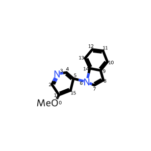 COc1cncc(-n2ccc3ccccc32)c1